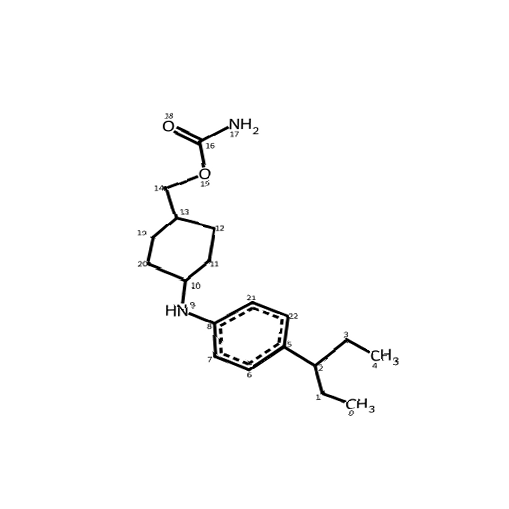 CCC(CC)c1ccc(NC2CCC(COC(N)=O)CC2)cc1